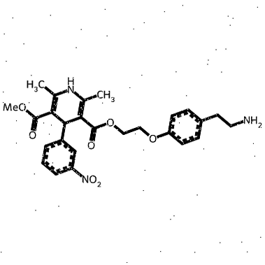 COC(=O)C1=C(C)NC(C)=C(C(=O)OCCOc2ccc(CCN)cc2)C1c1cccc([N+](=O)[O-])c1